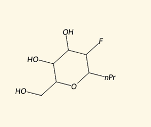 CCCC1OC(CO)C(O)C(O)C1F